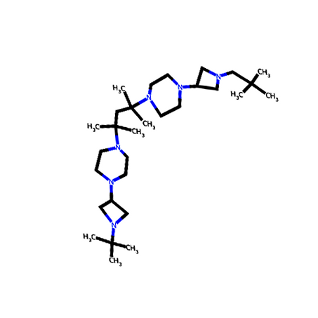 CC(C)(C)CN1CC(N2CCN(C(C)(C)CC(C)(C)N3CCN(C4CN(C(C)(C)C)C4)CC3)CC2)C1